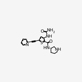 NC(=O)Nc1cc(C#Cc2ccccn2)sc1C(=O)N[C@H]1CCCNC1